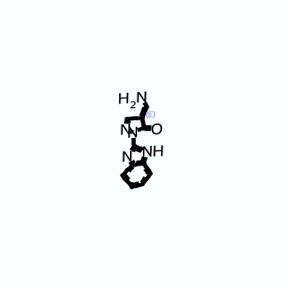 N/C=C1\C=NN(c2nc3ccccc3[nH]2)C1=O